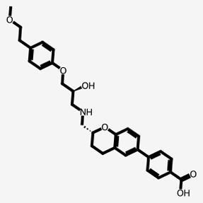 COCCc1ccc(OC[C@@H](O)CNC[C@H]2CCc3cc(-c4ccc(C(=O)O)cc4)ccc3O2)cc1